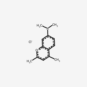 Cc1cc(C)c2ccc(N(C)C)cc2[o+]1.[Cl-]